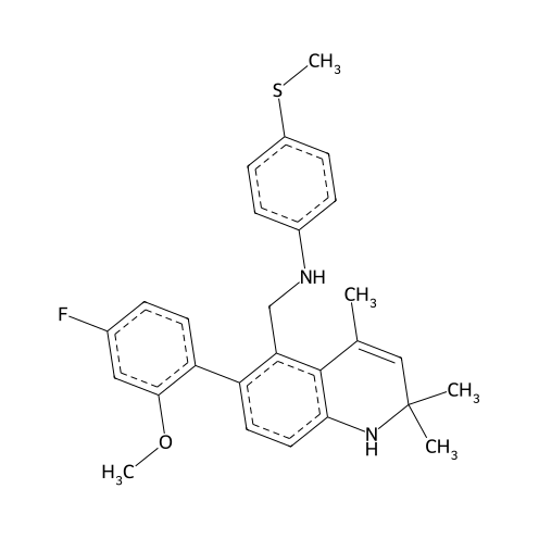 COc1cc(F)ccc1-c1ccc2c(c1CNc1ccc(SC)cc1)C(C)=CC(C)(C)N2